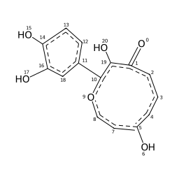 O=c1cccc(O)ccoc(-c2ccc(O)c(O)c2)c1O